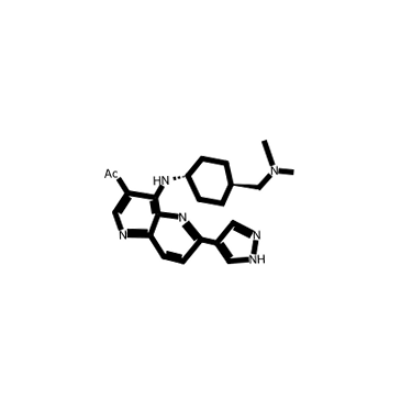 CC(=O)c1cnc2ccc(-c3cn[nH]c3)nc2c1N[C@H]1CC[C@H](CN(C)C)CC1